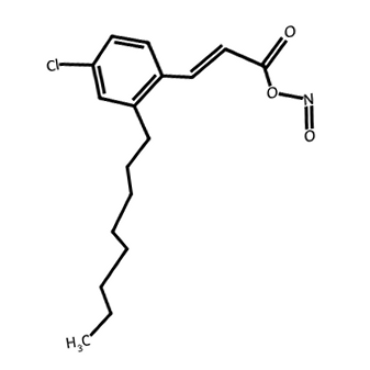 CCCCCCCCc1cc(Cl)ccc1/C=C/C(=O)ON=O